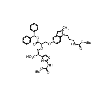 C[n+]1cc2cc(OCC(ON=C(C(=O)O)c3csc(NC(=O)OC(C)(C)C)n3)C(=O)OC(c3ccccc3)c3ccccc3)ccc2n1CCCNC(=O)OC(C)(C)C